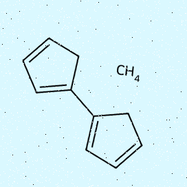 C.C1=CCC(C2=CC=CC2)=C1